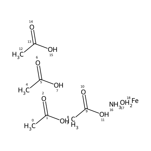 CC(=O)O.CC(=O)O.CC(=O)O.CC(=O)O.N.O.[Fe]